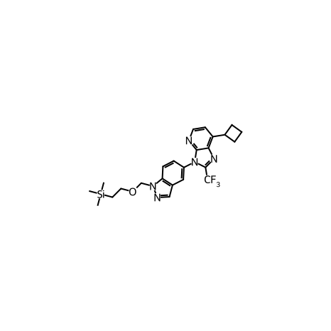 C[Si](C)(C)CCOCn1ncc2cc(-n3c(C(F)(F)F)nc4c(C5CCC5)ccnc43)ccc21